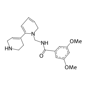 COc1cc(OC)cc(C(=O)NCN2CC=CC=C2C2=CCNCC2)c1